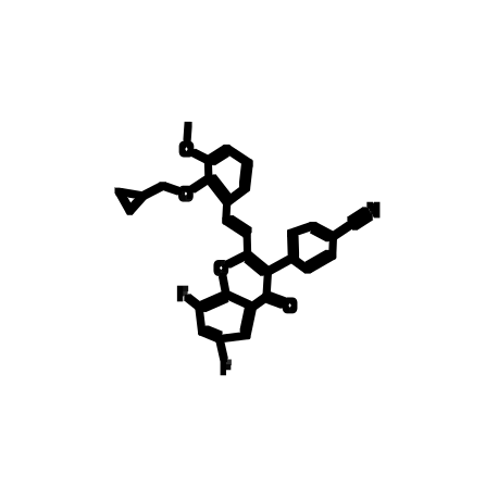 COc1cccc(C=Cc2oc3c(F)cc(F)cc3c(=O)c2-c2ccc(C#N)cc2)c1OCC1CC1